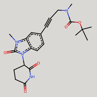 CN(CC#Cc1ccc2c(c1)n(C)c(=O)n2C1CCC(=O)NC1=O)C(=O)OC(C)(C)C